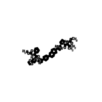 COC(=O)NC(C(=O)N1CCC[C@H]1c1ncc(-c2ccc3cc(-c4ccc(-c5cnc([C@@H]6CC7(CN6C(=O)[C@H](NC(=O)OC)c6ccccc6)OCCO7)[nH]5)cc4)ccc3c2)[nH]1)C(C)C